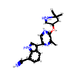 Cc1nc(-c2c[nH]c3c(C#N)cccc23)cnc1OC1CNC(C)(C)C1